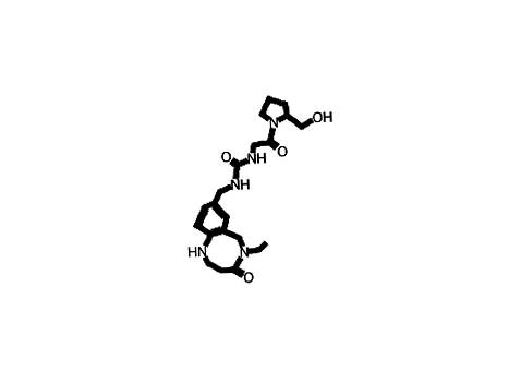 CCN1Cc2cc(CNC(=O)NCC(=O)N3CCCC3CO)ccc2NCCC1=O